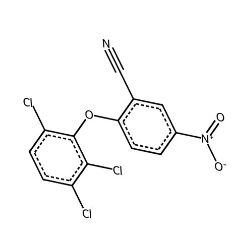 N#Cc1cc([N+](=O)[O-])ccc1Oc1c(Cl)ccc(Cl)c1Cl